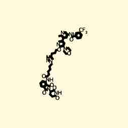 Cc1ncc(NC(=O)c2cccc(C(F)(F)F)c2)cc1-c1cnc(OCCCc2cn(CCCCCC(=O)Nc3cccc4c3C(=O)N(C3CCC(=O)NC3=O)C4=O)nn2)c(N2CCOCC2)c1